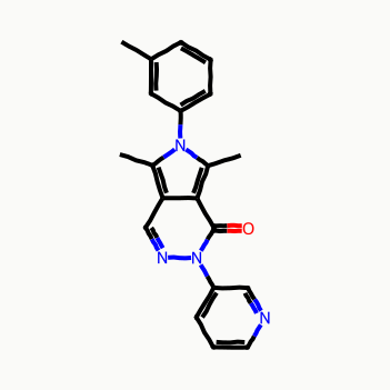 Cc1cccc(-n2c(C)c3cnn(-c4cccnc4)c(=O)c3c2C)c1